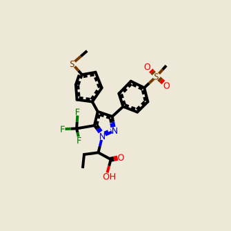 CCC(C(=O)O)n1nc(-c2ccc(S(C)(=O)=O)cc2)c(-c2ccc(SC)cc2)c1C(F)(F)F